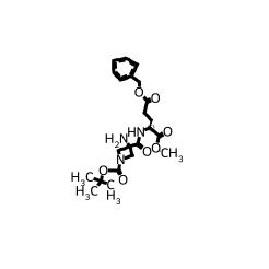 COC(=O)[C@H](CCC(=O)OCc1ccccc1)NC(=O)C1(N)CN(C(=O)OC(C)(C)C)C1